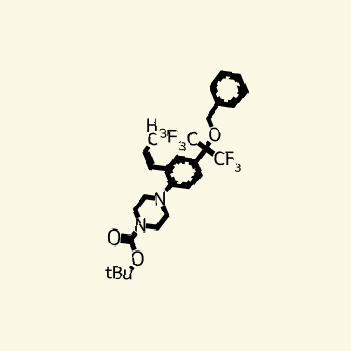 C/C=C\c1cc(C(OCc2ccccc2)(C(F)(F)F)C(F)(F)F)ccc1N1CCN(C(=O)OC(C)(C)C)CC1